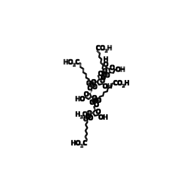 CP(=O)(OCCCCCCCC(=O)O)O[C@@H]1C[C@H](O)O[C@@H]1COP(=O)(OCCCCCCCC(=O)O)O[C@@H]1C[C@H](O)O[C@@H]1COP(=O)(OCCCCCCCC(=O)O)O[C@@H]1C[C@H](O)O[C@@H]1COP(=O)(OCCCCCCCC(=O)O)O[C@@H]1C[C@H](O)O[C@@H]1CO